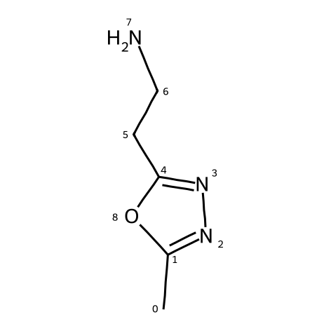 Cc1nnc(CCN)o1